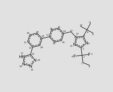 CCC(F)(F)c1nc(C(C)(C)C)n(Cc2ccc(-c3cccc(-c4nnn[nH]4)c3)cc2)n1